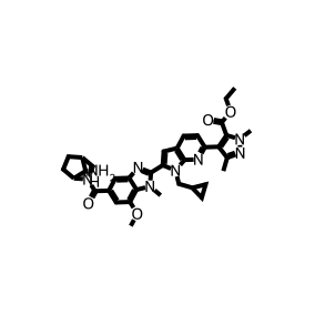 CCOC(=O)c1c(-c2ccc3cc(-c4nc5cc(C(=O)N6CC7CCC6[C@@H]7N)cc(OC)c5n4C)n(CC4CC4)c3n2)c(C)nn1C